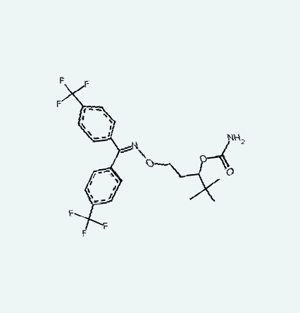 CC(C)(C)C(CCON=C(c1ccc(C(F)(F)F)cc1)c1ccc(C(F)(F)F)cc1)OC(N)=O